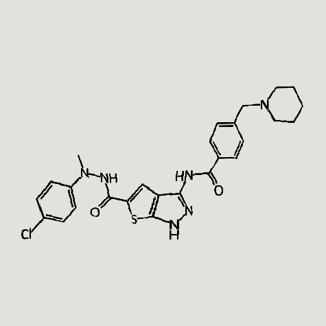 CN(NC(=O)c1cc2c(NC(=O)c3ccc(CN4CCCCC4)cc3)n[nH]c2s1)c1ccc(Cl)cc1